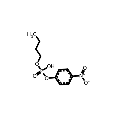 CCCCOP(=O)(O)Oc1ccc([N+](=O)[O-])cc1